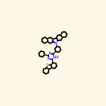 c1ccc(C2=NC(c3cccc4c3sc3ccccc34)NC(c3cccc(-n4c5cc6ccccc6cc5c5cc6ccccc6cc54)c3)=N2)cc1